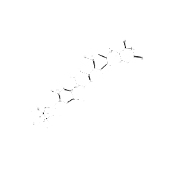 CC1(C)OB(c2cc(F)c(N3CC=C(c4ccc(NC5CCC(=O)NC5=O)cc4F)CC3)cc2F)OC1(C)C